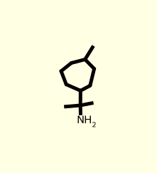 CC1CCCC(C(C)(C)N)CC1